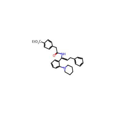 CCOC(=O)c1ccc(CC(=O)N/C(=C\Cc2ccccc2)c2ccccc2N2CCCCC2)cc1